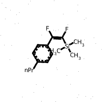 CCCc1ccc(C(F)=C(F)[Si](C)(C)C)cc1